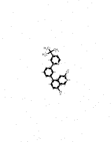 CC(C)(C)c1ccnc(-c2cccc(-c3ccc(Cl)c4cnc(Cl)cc34)c2)c1